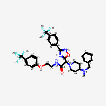 CN(Cc1ccccc1)C1CCN(C(C(=O)NCCOc2ccc(C(F)(F)F)cc2)c2nc(-c3ccc(C(F)(F)F)cc3)no2)CC1